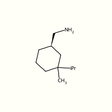 CC(C)C1(C)CCC[C@@H](CN)C1